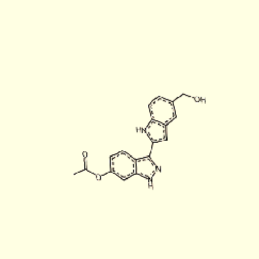 CC(=O)Oc1ccc2c(-c3cc4cc(CO)ccc4[nH]3)n[nH]c2c1